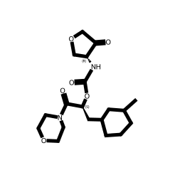 CC1CCCC(C[C@H](OC(=O)N[C@@H]2COCC2=O)C(=O)N2CCOCC2)C1